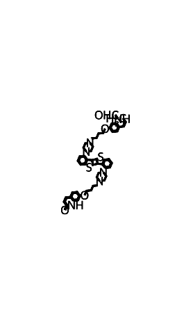 C/C=C\c1ccc(OCCCCN2CCN(c3cccc4c3C3C(S4)C4c5c(cccc5N5CCN(CCCCOc6ccc7ccc(=O)[nH]c7c6)CC5)SC34)CC2)cc1NC=O